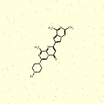 CCN1CCN(c2cn3c(=O)cc(-c4cc5c(C)nc(C)cn5c4)nc3c(C)n2)CC1